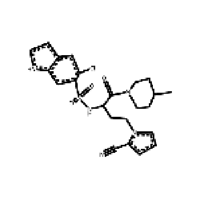 CC1CCN(C(=O)C(CCn2cccc2C#N)NS(=O)(=O)c2cc3[nH]ccc3cc2Cl)CC1